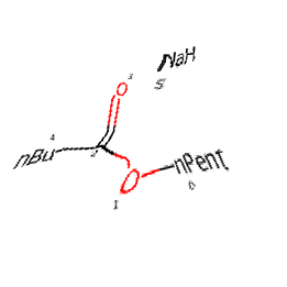 CCCCCOC(=O)CCCC.[NaH]